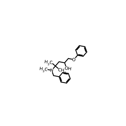 CN(Cc1ccccc1)C(C)(C)CC(O)COc1ccccc1